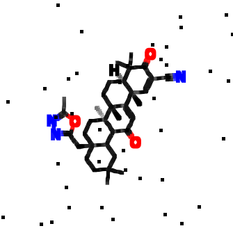 Cc1nnc(C[C@]23CCC(C)(C)CC2C2C(=O)C=C4[C@@]5(C)C=C(C#N)C(=O)C(C)(C)[C@@H]5CC[C@@]4(C)[C@]2(C)CC3)o1